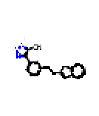 N#Cc1[nH]nnc1-c1cccc(CCC2=Cc3ccccc3C2)c1